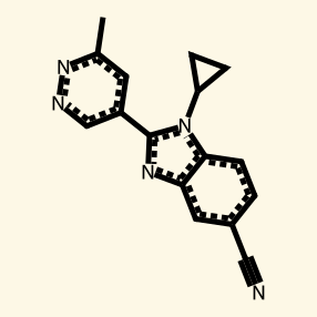 Cc1cc(-c2nc3cc(C#N)ccc3n2C2CC2)cnn1